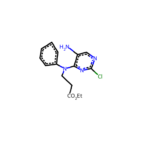 CCOC(=O)CCN(c1ccccc1)c1nc(Cl)ncc1N